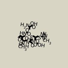 CON=C(C(=O)N[C@@H]1C(=O)N2C(OC(=O)O)=C(CSc3nnnn3C)CS[C@@H]12)c1occc1CNC(=O)OC[C@@H](N)C(=O)O